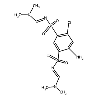 CN(C)C=NS(=O)(=O)c1cc(S(=O)(=O)N=CN(C)C)c(Cl)cc1N